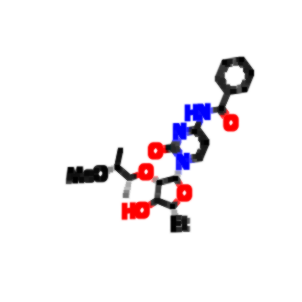 CC[C@H]1O[C@@H](n2ccc(NC(=O)c3ccccc3)nc2=O)[C@@H](O[C@H](C)[C@@H](C)OC)C1O